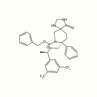 C[C@@H](OC[C@@]1(c2ccccc2)CCC2(CN1C(=O)OCc1ccccc1)NCNC2=O)c1cc(C(F)(F)F)cc(C(F)(F)F)c1